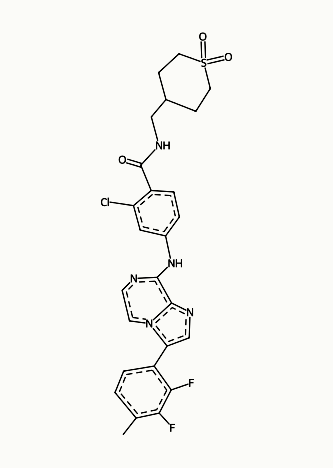 Cc1ccc(-c2cnc3c(Nc4ccc(C(=O)NCC5CCS(=O)(=O)CC5)c(Cl)c4)nccn23)c(F)c1F